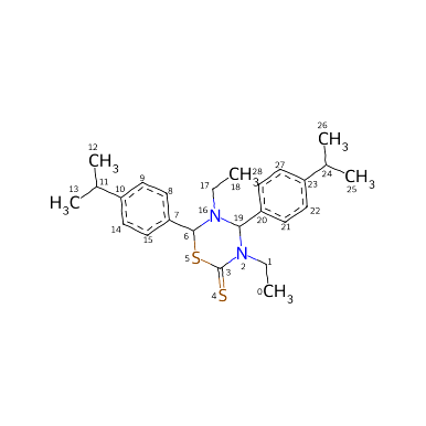 CCN1C(=S)SC(c2ccc(C(C)C)cc2)N(CC)C1c1ccc(C(C)C)cc1